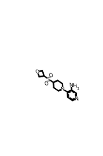 Nc1cnccc1N1CCC(S(=O)(=O)C2COC2)CC1